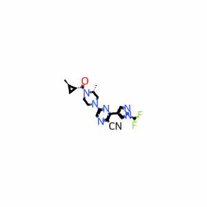 C[C@@H]1C[C@H]1C(=O)N1CCN(c2cnc(C#N)c(-c3cnn(C(F)F)c3)n2)C[C@H]1C